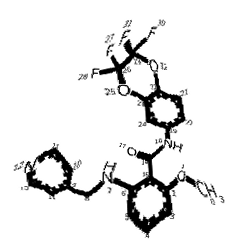 COc1cccc(NCc2ccncc2)c1C(=O)Nc1ccc2c(c1)OC(F)(F)C(F)(F)O2